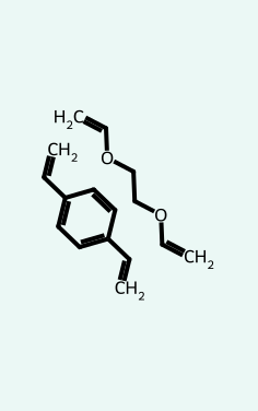 C=COCCOC=C.C=Cc1ccc(C=C)cc1